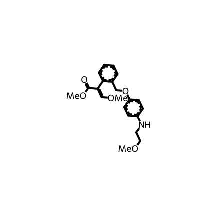 CO/C=C(/C(=O)OC)c1ccccc1COc1ccc(NCCOC)cc1